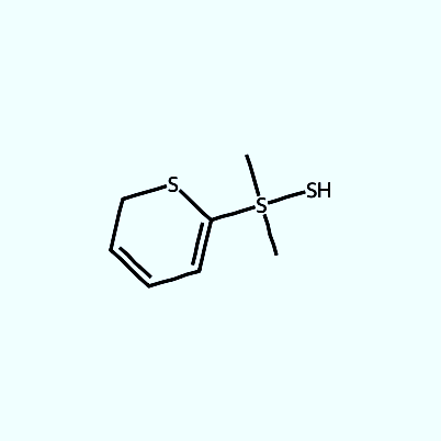 CS(C)(S)C1=CC=CCS1